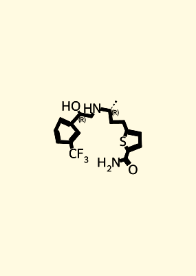 C[C@H](CCc1ccc(C(N)=O)s1)NC[C@H](O)c1cccc(C(F)(F)F)c1